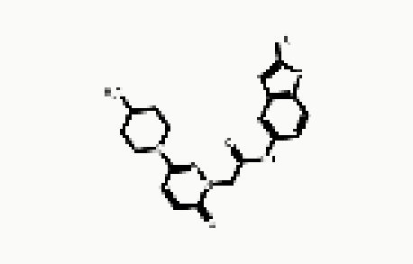 Cc1cc2cc(NC(=O)Cn3nc(N4CCC(C)CC4)ccc3=O)ccc2o1